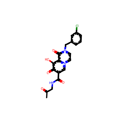 CC(=O)CNC(=O)c1cn2ccn(Cc3cccc(Cl)c3)c(=O)c2c(O)c1=O